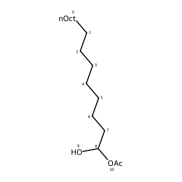 CCCCCCCCCCCCCCCC(O)OC(C)=O